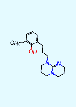 O=Cc1cccc(CCCN2CCCN3CCCN=C32)c1O